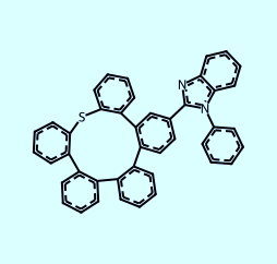 c1ccc(-n2c(-c3ccc4c(c3)-c3ccccc3Sc3ccccc3-c3ccccc3-c3ccccc3-4)nc3ccccc32)cc1